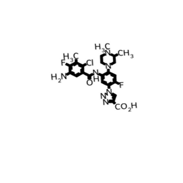 Cc1c(F)c(N)cc(C(=O)Nc2cc(-n3cc(C(=O)O)nn3)c(F)cc2N2CCN(C)C(C)C2)c1Cl